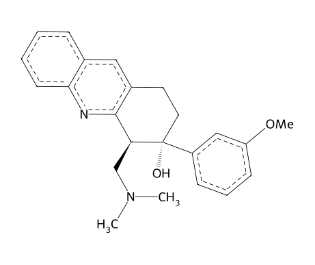 COc1cccc([C@]2(O)CCc3cc4ccccc4nc3[C@@H]2CN(C)C)c1